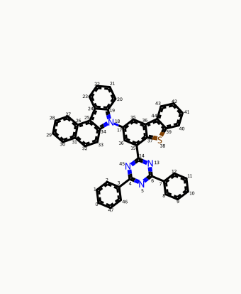 c1ccc(-c2nc(-c3ccccc3)nc(-c3cc(-n4c5ccccc5c5c6ccccc6ccc54)cc4c3sc3ccccc34)n2)cc1